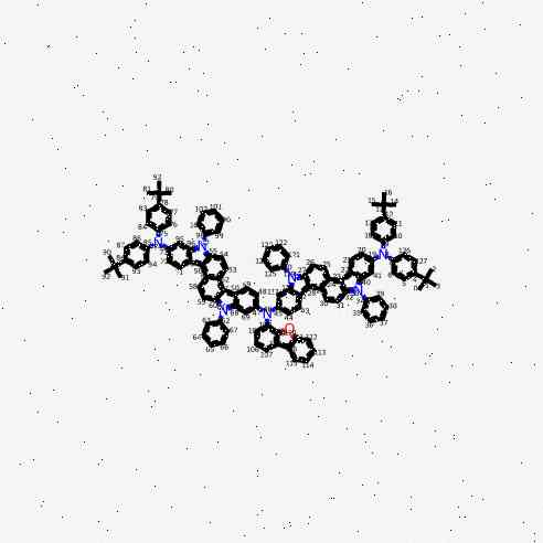 CC(C)(C)c1ccc(N(c2ccc(C(C)(C)C)cc2)c2ccc3c4c5ccc6c(c5ccc4n(-c4ccccc4)c3c2)c2ccc(N(c3ccc4c5c7ccc8c(c7ccc5n(-c5ccccc5)c4c3)c3ccc(N(c4ccc(C(C)(C)C)cc4)c4ccc(C(C)(C)C)cc4)cc3n8-c3ccccc3)c3cccc4c3oc3ccccc34)cc2n6-c2ccccc2)cc1